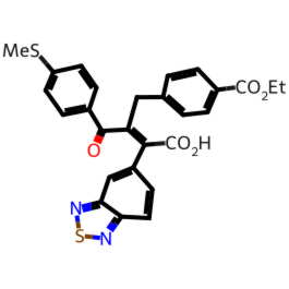 CCOC(=O)c1ccc(CC(C(=O)c2ccc(SC)cc2)=C(C(=O)O)c2ccc3nsnc3c2)cc1